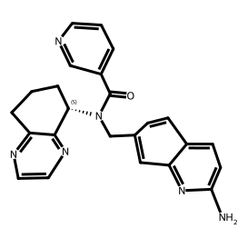 Nc1ccc2ccc(CN(C(=O)c3cccnc3)[C@H]3CCCc4nccnc43)cc2n1